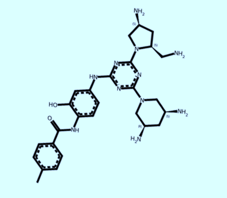 Cc1ccc(C(=O)Nc2ccc(Nc3nc(N4C[C@H](N)C[C@H](N)C4)nc(N4C[C@@H](N)C[C@H]4CN)n3)cc2O)cc1